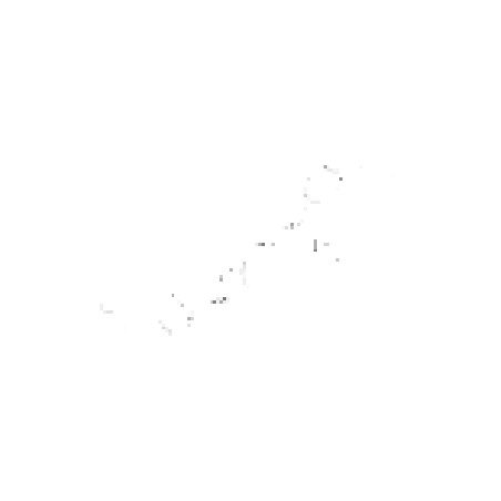 Cc1ccc(/C(N)=C/C=C/c2ccc(-c3ccc(C)s3)s2)s1